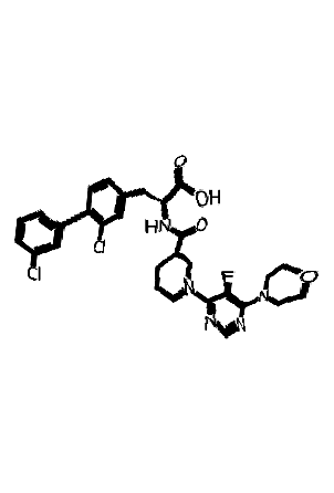 O=C(N[C@@H](Cc1ccc(-c2cccc(Cl)c2)c(Cl)c1)C(=O)O)C1CCCN(c2ncnc(N3CCOCC3)c2F)C1